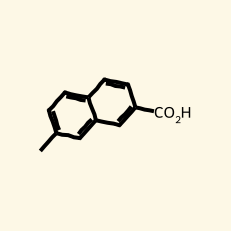 Cc1ccc2ccc(C(=O)O)cc2c1